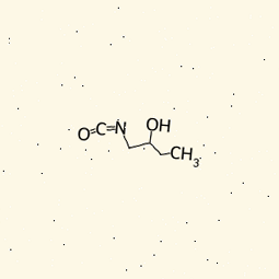 CCC(O)CN=C=O